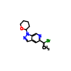 C=C(Br)c1cc2cnn(C3CCCCO3)c2cn1